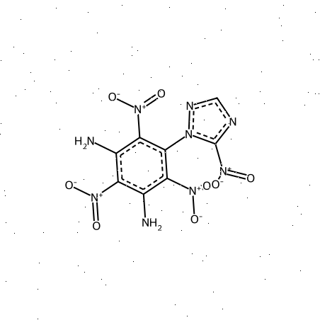 Nc1c([N+](=O)[O-])c(N)c([N+](=O)[O-])c(-n2ncnc2[N+](=O)[O-])c1[N+](=O)[O-]